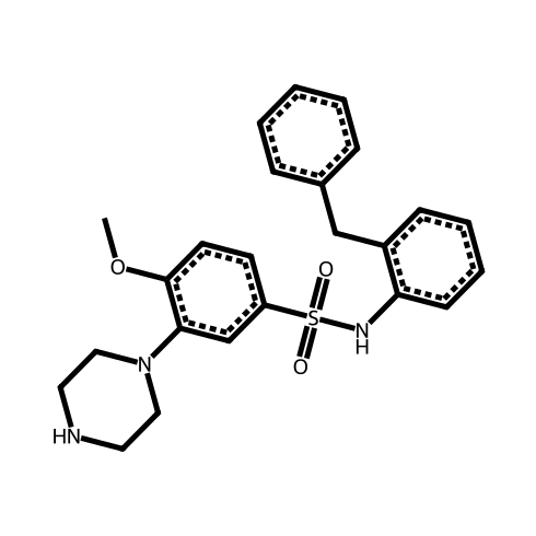 COc1ccc(S(=O)(=O)Nc2ccccc2Cc2ccccc2)cc1N1CCNCC1